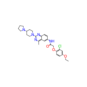 CCOc1ccc(OCC(=O)Nc2ccc3nc(N4CCC(N5CCCC5)CC4)nc(C)c3c2)c(Cl)c1